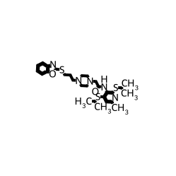 Cc1cc(SC(C)C)c(NC(=O)CN2CCN(CCCSc3nc4ccccc4o3)CC2)c(SC(C)C)n1